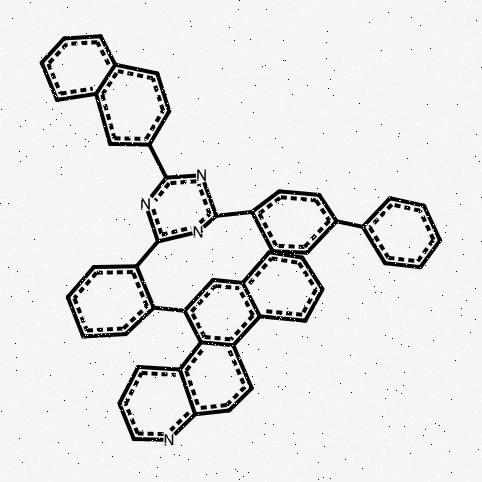 c1ccc(-c2ccc(-c3nc(-c4ccc5ccccc5c4)nc(-c4ccccc4-c4cc5ccccc5c5ccc6ncccc6c45)n3)cc2)cc1